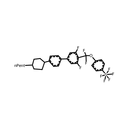 CCCCCC1CCC(c2ccc(-c3cc(F)c(C(F)(F)Oc4ccc(S(F)(F)(F)(F)F)cc4)c(F)c3)cc2)CC1